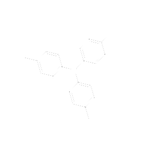 Cc1cc[c]([Ge+]([c]2ccc(C)cc2)[c]2ccc(C)cc2)cc1.[Cl-]